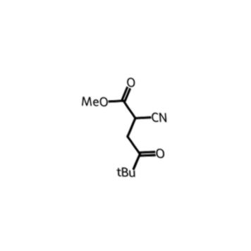 COC(=O)C(C#N)CC(=O)C(C)(C)C